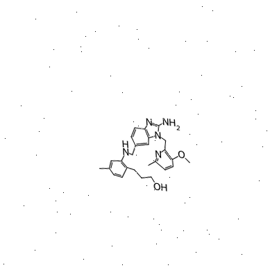 COc1ccc(C)nc1Cn1c(N)nc2ccc(CNc3cc(C)ccc3CCCO)cc21